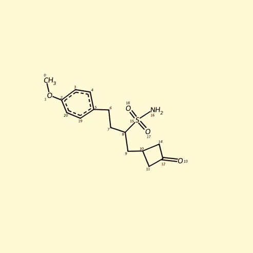 COc1ccc(CCC(CC2CC(=O)C2)S(N)(=O)=O)cc1